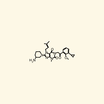 COc1c(C(=O)Cn2c(=O)c3c(nc(N4CCCC(N)C4)n3CC=C(C)C)n(C)c2=O)cccc1C1CC1